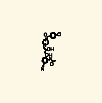 CC(=O)Nc1cc(C#N)ccc1OCC(O)CN1CCN(C(=O)c2ccc(Cl)cc2)CC1